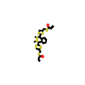 C=CC(=O)SCC1CSC(C(SC)C2CCCCC2C(SC)C2SCC(CSC(=O)C=C)S2)S1